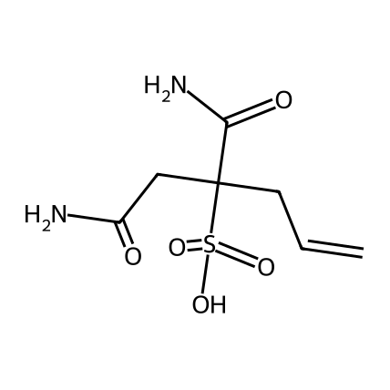 C=CCC(CC(N)=O)(C(N)=O)S(=O)(=O)O